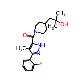 Cc1c(-c2ccccc2F)n[nH]c1C(=O)N1CCC(CC(C)(C)O)CC1